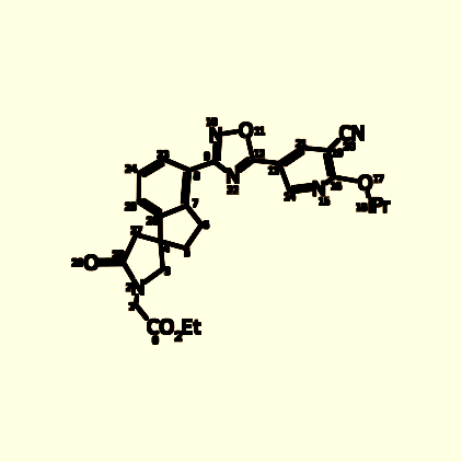 CCOC(=O)CN1CC2(CCc3c(-c4noc(-c5cnc(OC(C)C)c(C#N)c5)n4)cccc32)CC1=O